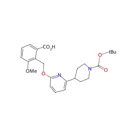 COc1cccc(C(=O)O)c1COc1cccc(C2CCN(C(=O)OC(C)(C)C)CC2)n1